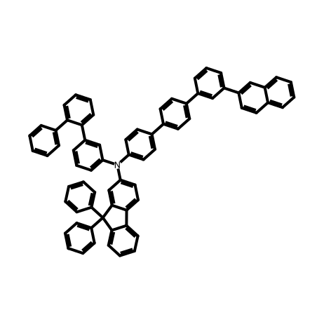 c1ccc(-c2ccccc2-c2cccc(N(c3ccc(-c4ccc(-c5cccc(-c6ccc7ccccc7c6)c5)cc4)cc3)c3ccc4c(c3)C(c3ccccc3)(c3ccccc3)c3ccccc3-4)c2)cc1